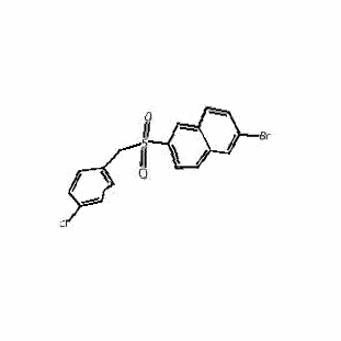 O=S(=O)(Cc1ccc(Cl)cc1)c1ccc2cc(Br)ccc2c1